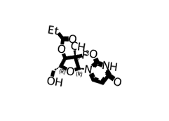 CCC(=O)OC1[C@@H](CO)O[C@@H](n2ccc(=O)[nH]c2=O)[C@@]1(C)F